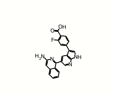 Nc1cc2ccccc2c(-c2cnc3[nH]cc(-c4ccc(C(=O)O)c(F)c4)c3c2)n1